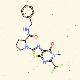 Cn1c(C(F)F)nc2sc(N3CCCC3C(=O)NCc3ccccc3)nc2c1=O